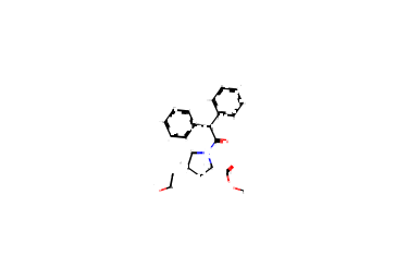 COC(=O)[C@@H]1C[C@H](CCO)CN1C(=O)C(c1ccccc1)c1ccccc1